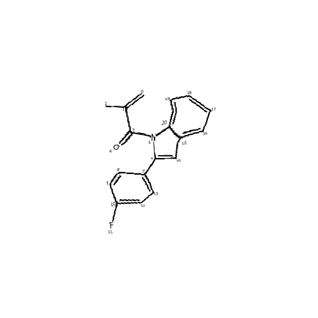 C=C(C)C(=O)n1c(-c2ccc(F)cc2)cc2ccccc21